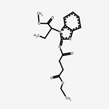 CCOC(=O)CCC(=O)N=c1sc2ccccc2n1C(CC)C(=O)OC